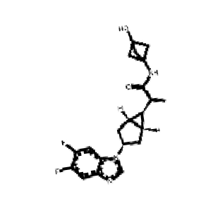 CC(C(=O)NC12CC(O)(C1)C2)[C@H]1[C@@H]2C[C@@H](n3cnc4cc(F)c(F)cc43)C[C@@H]21